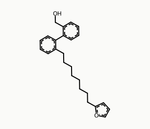 OCc1ccccc1-c1ccccc1CCCCCCCCc1ccco1